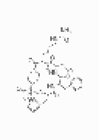 CNC(=O)NC1CCN(C(=O)[C@@H](CCCCNC(N)=O)NC(=O)[C@@H](CC(C)C)NC(=O)[C@@H](Cc2ccccc2)NC(=O)[C@H](N)Cc2ccccc2)CC1